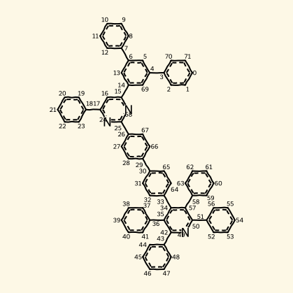 c1ccc(-c2cc(-c3ccccc3)cc(-c3cc(-c4ccccc4)nc(-c4ccc(-c5ccc(-c6c(-c7ccccc7)c(-c7ccccc7)nc(-c7ccccc7)c6-c6ccccc6)cc5)cc4)n3)c2)cc1